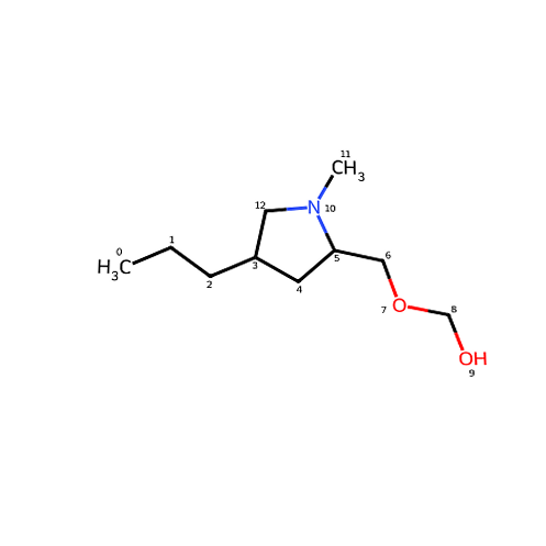 CCCC1CC(COCO)N(C)C1